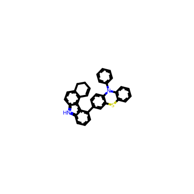 C1=Cc2c(ccc3[nH]c4cccc(-c5ccc6c(c5)Sc5ccccc5N6c5ccccc5)c4c23)CC1